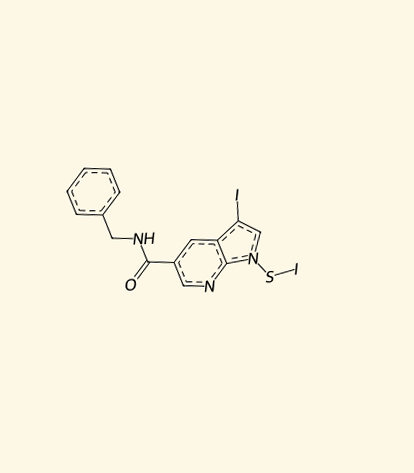 O=C(NCc1ccccc1)c1cnc2c(c1)c(I)cn2SI